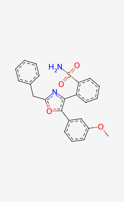 COc1cccc(-c2oc(Cc3ccccc3)nc2-c2ccccc2S(N)(=O)=O)c1